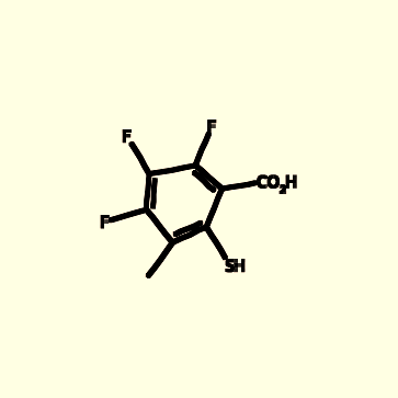 Cc1c(F)c(F)c(F)c(C(=O)O)c1S